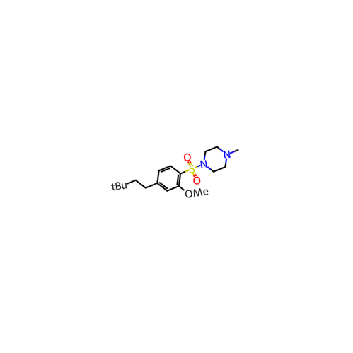 COc1cc(CCC(C)(C)C)ccc1S(=O)(=O)N1CCN(C)CC1